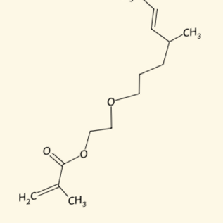 C=C(C)C(=O)OCCOCCCC(C)C=CC